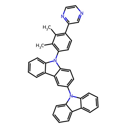 Cc1c(-c2cnccn2)ccc(-n2c3ccccc3c3cc(-n4c5ccccc5c5ccccc54)ccc32)c1C